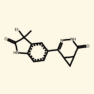 CCC1(C)C(=O)Nc2ccc(C3=NNC(=O)C4CC34)cc21